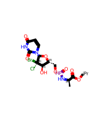 CC(C)OC(=O)[C@@H](C)N[PH](=O)OC[C@H]1OC(n2ccc(=O)[nH]c2=O)[C@](Cl)(Br)[C@@H]1O